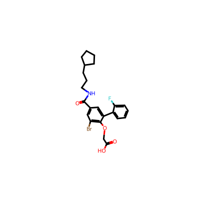 O=C(O)COc1c(Br)cc(C(=O)NCCCC2CCCC2)cc1-c1ccccc1F